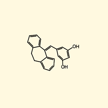 Oc1cc(O)cc(C=C2c3ccccc3CCc3ccccc32)c1